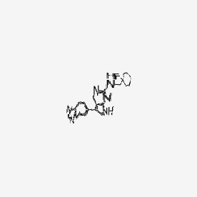 FC1(CNc2ncc3c(-c4ccc5ncnn5c4)c[nH]c3n2)CCCCC1